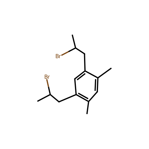 Cc1cc(C)c(CC(C)Br)cc1CC(C)Br